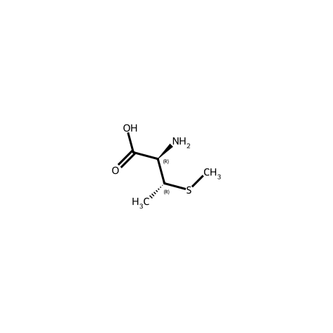 CS[C@H](C)[C@H](N)C(=O)O